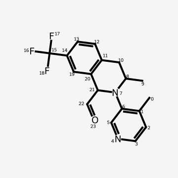 Cc1ccncc1N1C(C)Cc2ccc(C(F)(F)F)cc2C1C=O